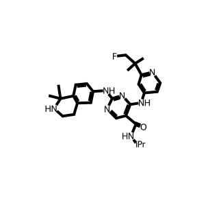 CC(C)NC(=O)c1cnc(Nc2ccc3c(c2)CCNC3(C)C)nc1Nc1ccnc(C(C)(C)CF)c1